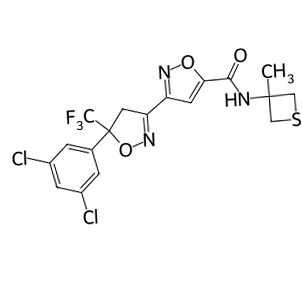 CC1(NC(=O)c2cc(C3=NOC(c4cc(Cl)cc(Cl)c4)(C(F)(F)F)C3)no2)CSC1